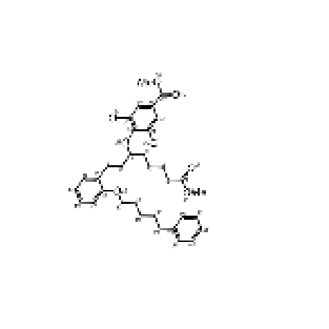 COC(=O)CCCCC(CCc1ccccc1OCCCCCc1ccccc1)Oc1c(Cl)cc(C(=O)OC)cc1Cl